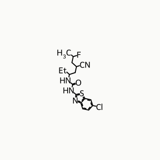 CCC(CC(C#N)CC(C)F)NC(=O)Nc1nc2ccc(Cl)cc2s1